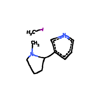 CI.CN1CCCC1c1cccnc1